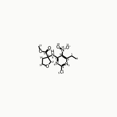 CCc1nc(Cl)nc(NC2(C(=O)OC)CCOC2)c1[N+](=O)[O-]